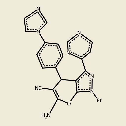 CCn1nc(-c2ccncn2)c2c1OC(N)=C(C#N)C2c1ccc(-n2ccnc2)cc1